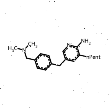 CCCCCc1cc(Cc2ccc(CN(C)C)cc2)cnc1N